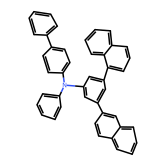 c1ccc(-c2ccc(N(c3ccccc3)c3cc(-c4ccc5ccccc5c4)cc(-c4cccc5ccccc45)c3)cc2)cc1